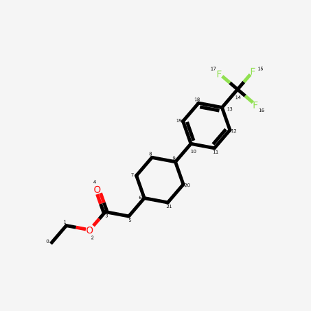 CCOC(=O)CC1CCC(c2ccc(C(F)(F)F)cc2)CC1